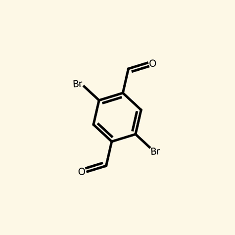 O=Cc1cc(Br)c(C=O)cc1Br